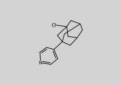 ClC12CC3CC(C1)CC(c1c[c]ncc1)(C3)C2